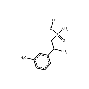 CCOP(C)(=O)CC(C)c1cccc(C)c1